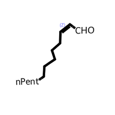 CCCCCCCCCC/C=C\C=O